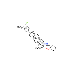 CC(C)[C@@H]1CC[C@]2(NCCC3(O)CCCCC3)CC[C@]3(C)[C@H](CC[C@@H]4[C@@]5(C)CC=C(C6=CC[C@](CF)(C(=O)O)CC6)C(C)(C)[C@@H]5CC[C@]43C)[C@@H]12